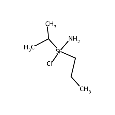 CCC[Si](N)(Cl)C(C)C